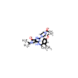 CCOc1ccc([C@@H](C)Nc2nc(N3CCN(C(C)=O)CC3)nc3c2CN(C(C)C)C3=O)c(C)c1